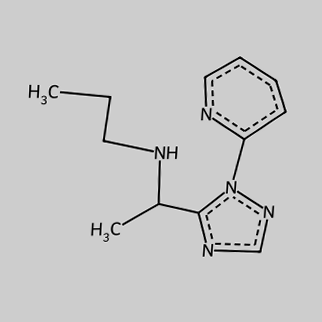 CCCNC(C)c1ncnn1-c1ccccn1